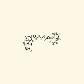 NC(=S)Nc1cccc(OCCCCCOc2cccc3ccccc23)c1